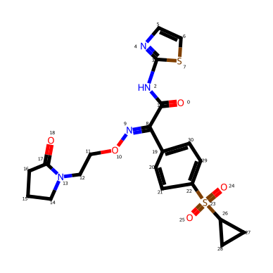 O=C(Nc1nccs1)/C(=N/OCCN1CCCC1=O)c1ccc(S(=O)(=O)C2CC2)cc1